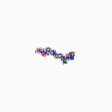 Cn1c(=O)n(C2CCC(=O)NC2=O)c2cccc(-c3ccc(N4CCc5cc(-n6cc(NC(=O)c7cnn8cccnc78)c(C(F)F)n6)ccc5C4)nc3)c21